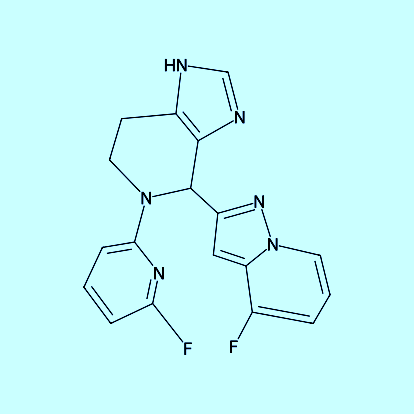 Fc1cccc(N2CCc3[nH]cnc3C2c2cc3c(F)cccn3n2)n1